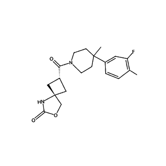 Cc1ccc(C2(C)CCN(C(=O)[C@H]3C[C@]4(COC(=O)N4)C3)CC2)cc1F